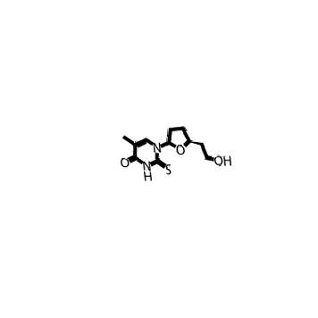 Cc1cn(C2CC[C@@H](CCO)O2)c(=S)[nH]c1=O